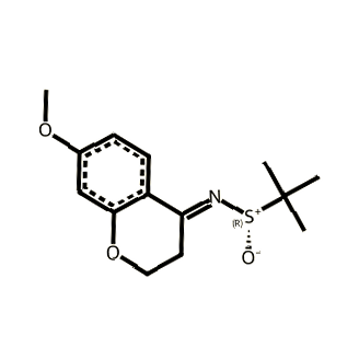 COc1ccc2c(c1)OCCC2=N[S@@+]([O-])C(C)(C)C